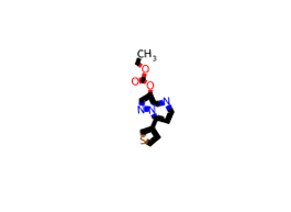 CCOC(=O)Oc1cnn2c(-c3ccsc3)ccnc12